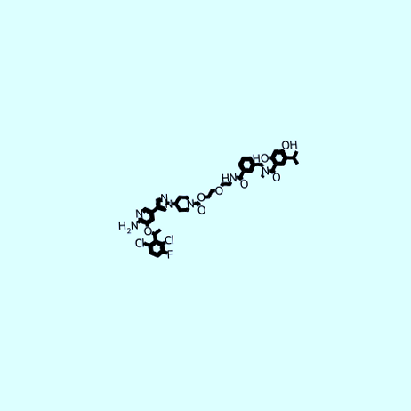 CC(C)c1cc(C(=O)N(C)Cc2cccc(C(=O)NCCOCCOC(=O)N3CCC(n4cc(-c5cnc(N)c(OC(C)c6c(Cl)ccc(F)c6Cl)c5)cn4)CC3)c2)c(O)cc1O